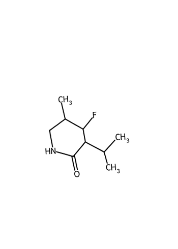 CC(C)C1C(=O)NCC(C)C1F